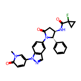 Cn1cc(-n2ncc3cc(N4C(=O)C[C@@H](NC(=O)C5(F)CC5)[C@@H]4c4ccccc4)ccc32)ccc1=O